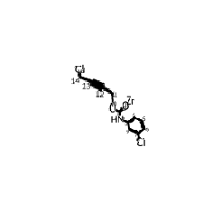 O=C(Nc1cccc(Cl)c1)OCC#CCCl.[Zr]